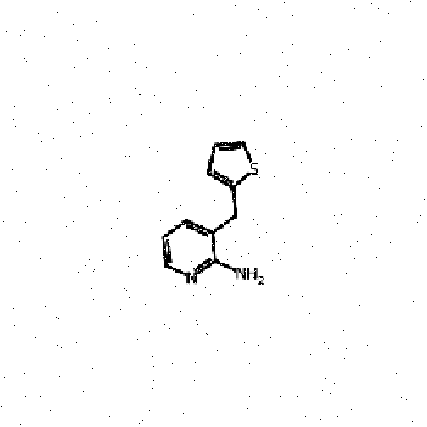 Nc1ncccc1Cc1cccs1